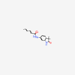 CC=CC=CC(=O)Nc1ccc2c(c1)NC(=O)C2(C)C